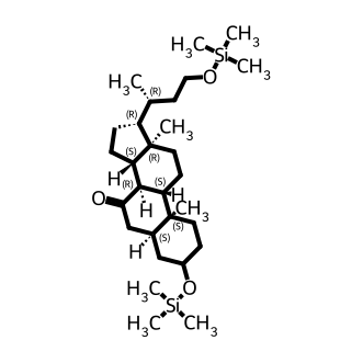 C[C@H](CCO[Si](C)(C)C)[C@H]1CC[C@H]2[C@@H]3C(=O)C[C@@H]4CC(O[Si](C)(C)C)CC[C@]4(C)[C@H]3CC[C@]12C